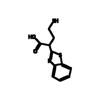 O=C(O)C(CCS)c1nc2ccccc2s1